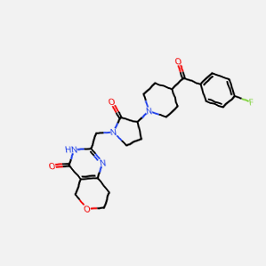 O=C(c1ccc(F)cc1)C1CCN(C2CCN(Cc3nc4c(c(=O)[nH]3)COCC4)C2=O)CC1